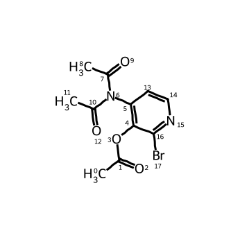 CC(=O)Oc1c(N(C(C)=O)C(C)=O)ccnc1Br